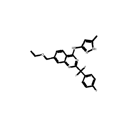 CCOCc1ccc2c(Nc3cc(C)[nH]n3)nc(C(F)(F)c3ccc(F)cc3)nc2c1